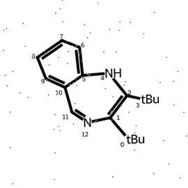 CC(C)(C)C1=C(C(C)(C)C)Nc2ccccc2C=N1